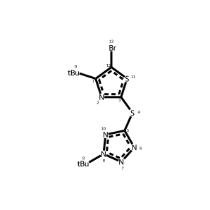 CC(C)(C)c1nc(Sc2nnn(C(C)(C)C)n2)sc1Br